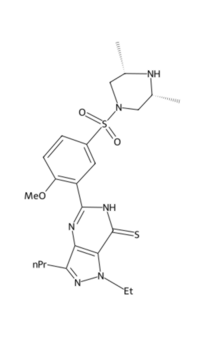 CCCc1nn(CC)c2c(=S)[nH]c(-c3cc(S(=O)(=O)N4C[C@@H](C)N[C@@H](C)C4)ccc3OC)nc12